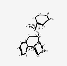 F[C@H](C[C@@H]1Cc2ccccc2-c2cncn21)C1CCCCC1